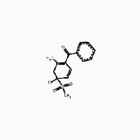 CC1=C(C(=O)c2ccccc2)C=CC(Cl)(S(C)(=O)=O)C1